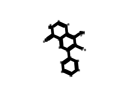 O=c1[nH]cnc2c(O)c(F)c(-c3ccccc3)cc12